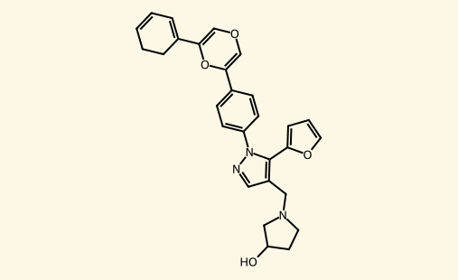 OC1CCN(Cc2cnn(-c3ccc(C4=COC=C(C5=CC=CCC5)O4)cc3)c2-c2ccco2)C1